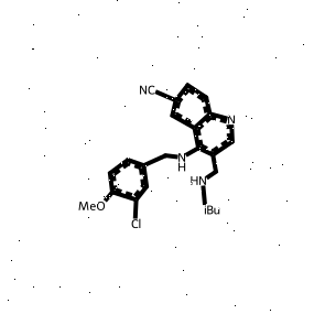 CCC(C)NCc1cnc2ccc(C#N)cc2c1NCc1ccc(OC)c(Cl)c1